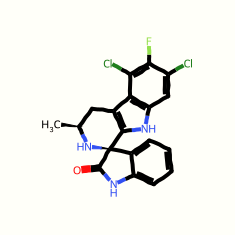 C[C@H]1Cc2c([nH]c3cc(Cl)c(F)c(Cl)c23)[C@@]2(N1)C(=O)Nc1ccccc12